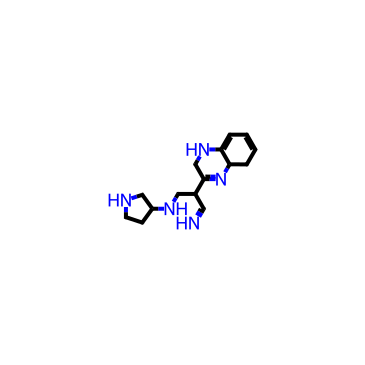 N=CC(CNC1CCNC1)C1=NC2CC=CC=C2NC1